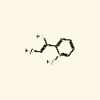 CC=C(C)c1cccc[n+]1C